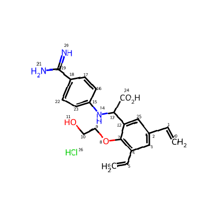 C=Cc1cc(C=C)c(OCCO)c(C(Nc2ccc(C(=N)N)cc2)C(=O)O)c1.Cl